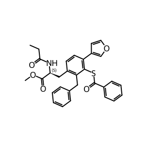 CCC(=O)N[C@@H](Cc1ccc(-c2ccoc2)c(SC(=O)c2ccccc2)c1Cc1ccccc1)C(=O)OC